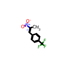 C/C(=C\c1ccc(C(F)(F)F)cc1)[N+](=O)[O-]